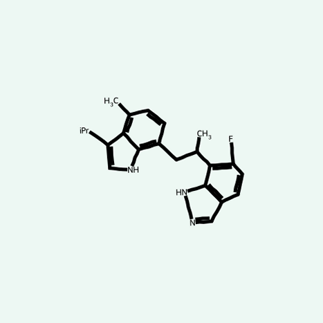 Cc1ccc(CC(C)c2c(F)ccc3cn[nH]c23)c2[nH]cc(C(C)C)c12